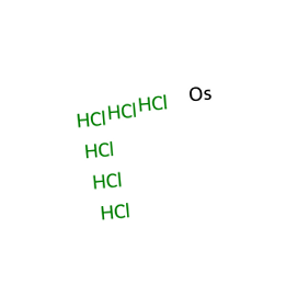 Cl.Cl.Cl.Cl.Cl.Cl.[Os]